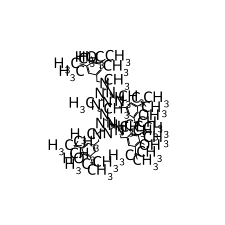 CN(Cc1cc(C(C)(C)C)c(O)c(C(C)(C)C)c1)c1nc(N(C)Cc2cc(C(C)(C)C)c(O)c(C(C)(C)C)c2)nc(N(C)CN(C)c2nc(N(C)Cc3cc(C(C)(C)C)c(O)c(C(C)(C)C)c3)nc(N(C)Cc3cc(C(C)(C)C)c(O)c(C(C)(C)C)c3)n2)n1